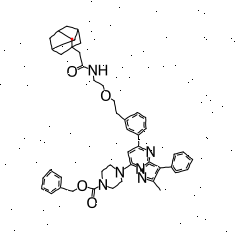 Cc1nn2c(N3CCN(C(=O)OCc4ccccc4)CC3)cc(-c3cccc(CCOCCNC(=O)CC45CC6CC(CC(C6)C4)C5)c3)nc2c1-c1ccccc1